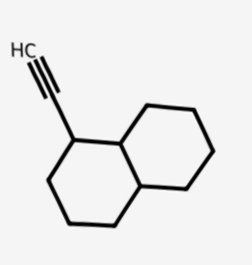 C#CC1CCCC2CCCCC12